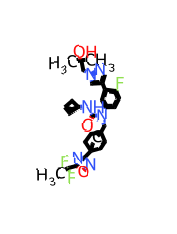 CC(C)(O)Cn1cc(-c2cc(N(CC34CCC(c5noc(C(C)(F)F)n5)(CC3)CC4)C(=O)NC34CC(C3)C4)ccc2F)cn1